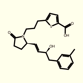 Cc1cccc(C[C@H](O)/C=C/[C@H]2CCC(=O)N2CCCc2ccc(C(=O)O)s2)c1